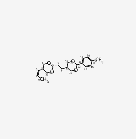 C/C=C\[C@H]1CO[C@H](CCC2COC(c3ccc(C(F)(F)F)cc3)OC2)OC1